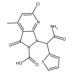 Cc1cc(Cl)nc2c1c(=O)n(C(=O)O)n2C(C(N)=O)c1cccs1